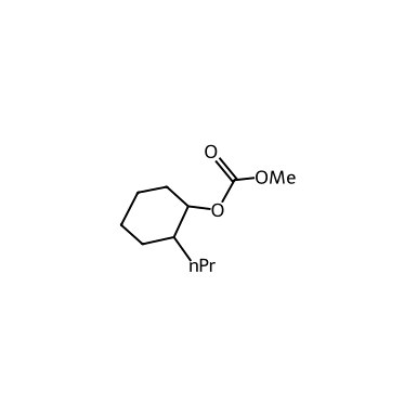 CCCC1CCCCC1OC(=O)OC